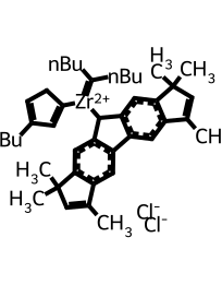 CCCC[C](CCCC)=[Zr+2]([C]1=CC(C(C)(C)C)=CC1)[CH]1c2cc3c(cc2-c2cc4c(cc21)C(C)(C)C=C4C)C(C)=CC3(C)C.[Cl-].[Cl-]